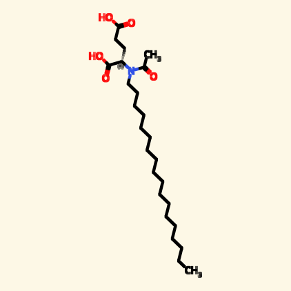 CCCCCCCCCCCCCCCCCCN(C(C)=O)[C@@H](CCC(=O)O)C(=O)O